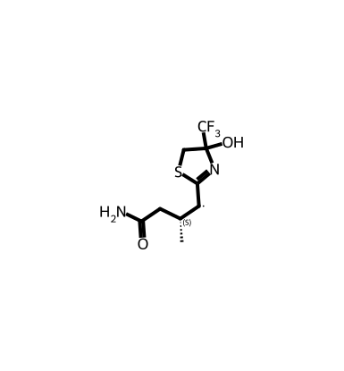 C[C@@H]([CH]C1=NC(O)(C(F)(F)F)CS1)CC(N)=O